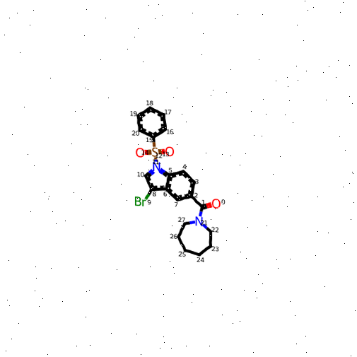 O=C(c1ccc2c(c1)c(Br)cn2S(=O)(=O)c1ccccc1)N1CCCCCC1